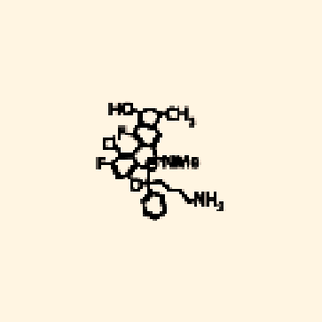 CNC(=O)c1cc2c(c(F)c1-c1c(Cl)c(F)cc3c1CC(CCCCN)(c1ccccc1)O3)C(O)CC2C